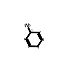 [N]C1C=CCC=C1